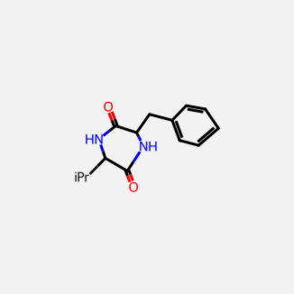 CC(C)C1NC(=O)C(Cc2ccccc2)NC1=O